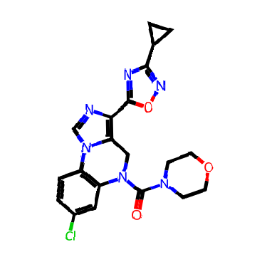 O=C(N1CCOCC1)N1Cc2c(-c3nc(C4CC4)no3)ncn2-c2ccc(Cl)cc21